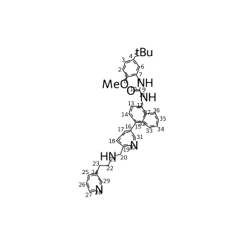 COc1ccc(C(C)(C)C)cc1NC(=O)Nc1ccc(-c2ccc(CNCCc3cccnc3)nc2)c2ccccc12